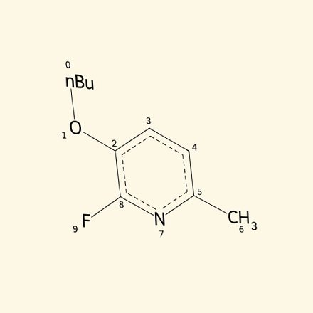 CCCCOc1ccc(C)nc1F